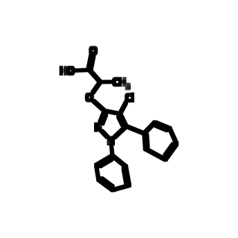 CC(Oc1nn(-c2ccccc2)c(-c2ccccc2)c1Cl)C(=O)O